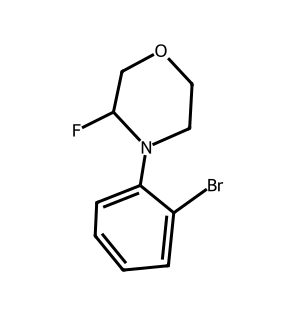 FC1COCCN1c1ccccc1Br